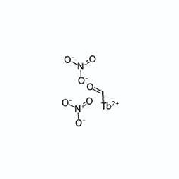 O=[CH][Tb+2].O=[N+]([O-])[O-].O=[N+]([O-])[O-]